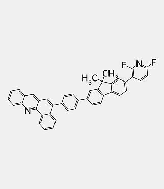 CC1(C)c2cc(-c3ccc(-c4cc5cc6ccccc6nc5c5ccccc45)cc3)ccc2-c2ccc(-c3ccc(F)nc3F)cc21